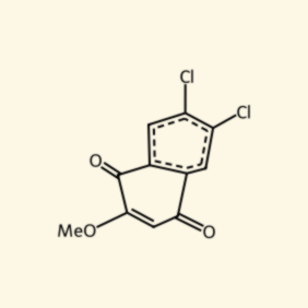 COC1=CC(=O)c2cc(Cl)c(Cl)cc2C1=O